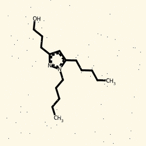 CCCCCc1cc(CCCO)nn1CCCCC